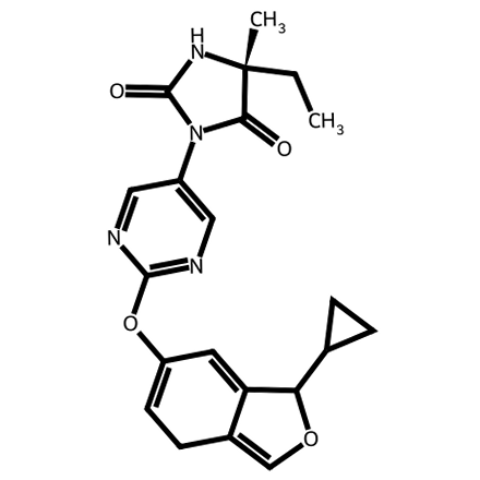 CC[C@@]1(C)NC(=O)N(c2cnc(OC3=CCC4=COC(C5CC5)C4=C3)nc2)C1=O